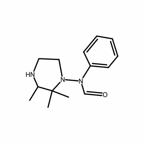 CC1NCCN(N(C=O)c2ccccc2)C1(C)C